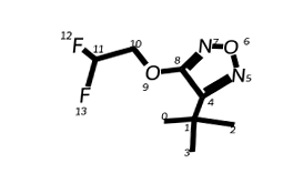 CC(C)(C)c1nonc1OCC(F)F